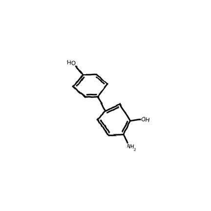 Nc1ccc(-c2ccc(O)cc2)cc1O